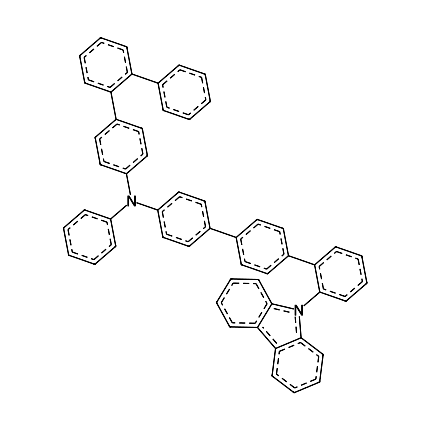 c1ccc(-c2ccccc2-c2ccc(N(c3ccccc3)c3ccc(-c4ccc(-c5ccccc5-n5c6ccccc6c6ccccc65)cc4)cc3)cc2)cc1